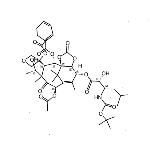 CC(=O)O[C@H]1C(=O)C(C)([C@H](C)O)[C@@H](C2(OC(C)=O)COC2)[C@H](OC(=O)C2=CC=CCC2)[C@]23OC(=O)O[C@H]2[C@H](OC(=O)[C@H](O)[C@H](CC(C)C)NC(=O)OC(C)(C)C)C(C)=C1C3(C)C